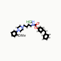 COc1ccccc1N1CCN(CCCCNC(=O)Oc2ccc(Cc3ccccc3)cc2)CC1.Cl